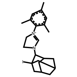 Cc1cc(C)c([N+]2=CN(C3C4CC5CC(C4)CC3(I)C5)CC2)c(C)c1